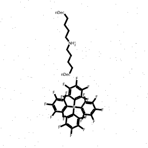 CCCCCCCCCCCCCC[NH2+]CCCCCCCCCCCCCC.Fc1c(F)c(F)c([B-](c2c(F)c(F)c(F)c(F)c2F)(c2c(F)c(F)c(F)c(F)c2F)c2c(F)c(F)c(F)c(F)c2F)c(F)c1F